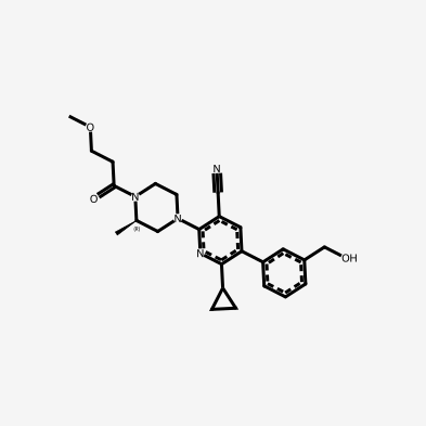 COCCC(=O)N1CCN(c2nc(C3CC3)c(-c3cccc(CO)c3)cc2C#N)C[C@H]1C